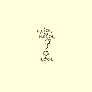 CN(C)c1ccc(/C=C/C2=CN=C(C(C)(C)OCC(C)(C)F)CC2)cc1